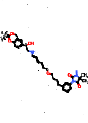 CC1(C)OCc2cc([C@H](O)CNCCCCCCOCCCCc3cccc(N4C(=O)NC(C)(C)C4=O)c3)ccc2O1